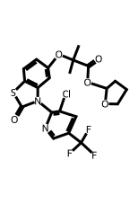 CC(C)(Oc1ccc2sc(=O)n(-c3ncc(C(F)(F)F)cc3Cl)c2c1)C(=O)OC1CCCO1